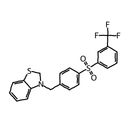 O=S(=O)(c1ccc(CN2CSc3ccccc32)cc1)c1cccc(C(F)(F)F)c1